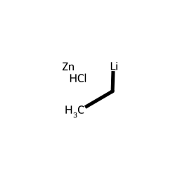 Cl.[Li][CH2]C.[Zn]